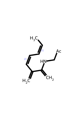 C=C(/C=C\C=C/C)C(=C)NCC(C)=O